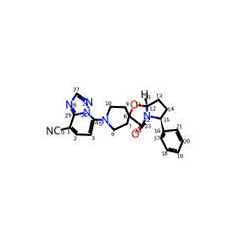 N#Cc1ccc(N2CCC3(CC2)O[C@@H]2CC[C@@H](c4ccccc4)N2C3=O)n2ncnc12